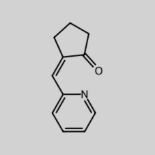 O=C1CCCC1=Cc1ccccn1